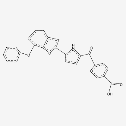 O=C(O)c1ccc(C(=O)c2ccc(-c3cc4cccc(Oc5ccccc5)c4o3)[nH]2)cc1